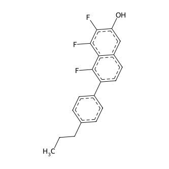 CCCc1ccc(-c2ccc3cc(O)c(F)c(F)c3c2F)cc1